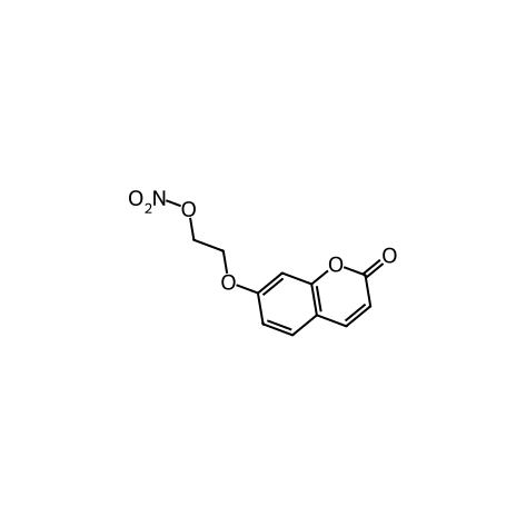 O=c1ccc2ccc(OCCO[N+](=O)[O-])cc2o1